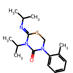 Cc1ccccc1N1CSC(=NC(C)C)N(C(C)C)C1=O